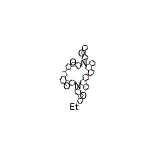 CCc1ccc2oc3cc(N(c4ccc5c(c4)oc4cccc(CC(C)c6ccc7oc8cc(N(c9ccc%10c(c9)oc9ccccc9%10)c9cc%10ccccc%10c%10ccccc9%10)ccc8c7c6)c45)c4cc5ccccc5c5ccccc45)ccc3c2c1